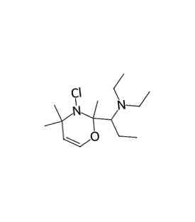 CCC(N(CC)CC)C1(C)OC=CC(C)(C)N1Cl